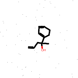 C=CCC(C)(O)C1=CC=CCC1